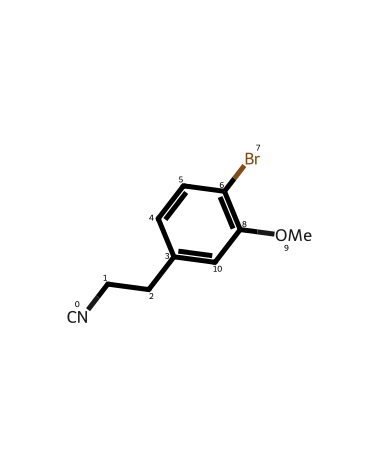 [C-]#[N+]CCc1ccc(Br)c(OC)c1